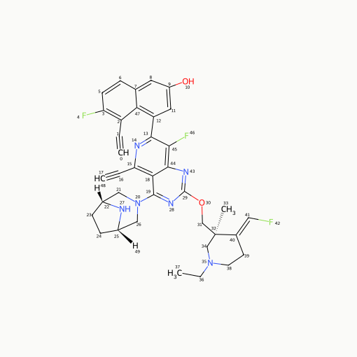 C#Cc1c(F)ccc2cc(O)cc(-c3nc(C#C)c4c(N5C[C@H]6CC[C@@H](C5)N6)nc(OC[C@]5(C)CN(CC)CC/C5=C\F)nc4c3F)c12